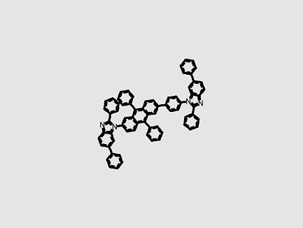 c1ccc(-c2ccc3nc(-c4ccccc4)n(-c4ccc(-c5ccc6c(-c7ccccc7)c7cc(-n8c(-c9ccccc9)nc9ccc(-c%10ccccc%10)cc98)ccc7c(-c7ccccc7)c6c5)cc4)c3c2)cc1